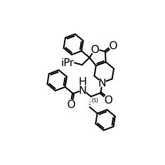 CC(C)CC1(c2ccccc2)OC(=O)C2=C1CN(C(=O)[C@H](Cc1ccccc1)NC(=O)c1ccccc1)CC2